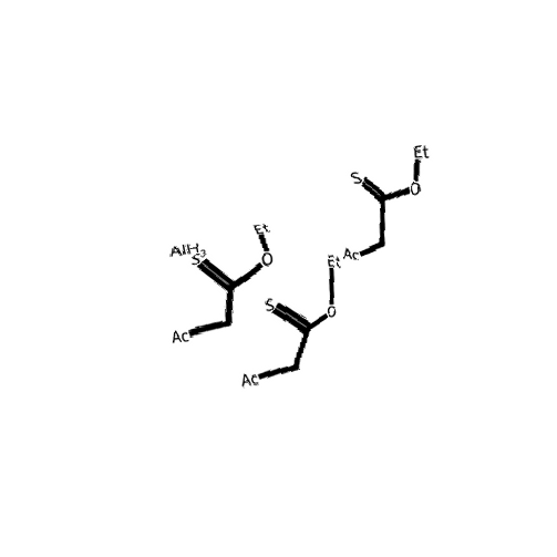 CCOC(=S)CC(C)=O.CCOC(=S)CC(C)=O.CCOC(=S)CC(C)=O.[AlH3]